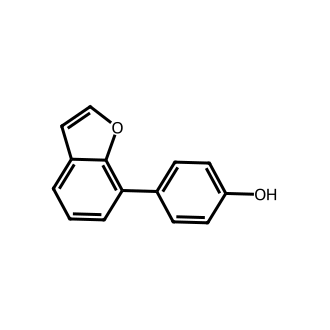 Oc1ccc(-c2cccc3ccoc23)cc1